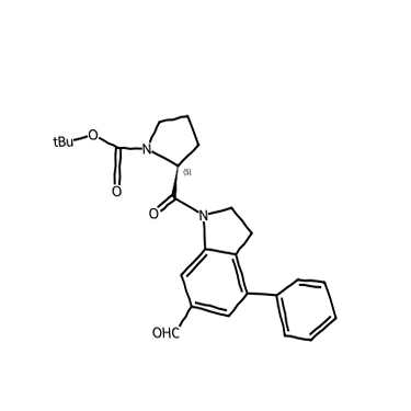 CC(C)(C)OC(=O)N1CCC[C@H]1C(=O)N1CCc2c(-c3ccccc3)cc(C=O)cc21